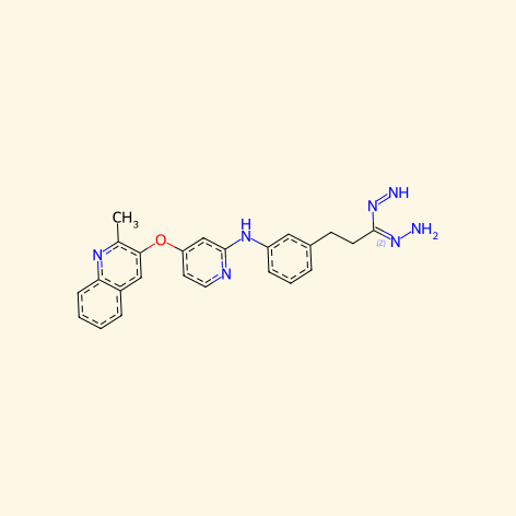 Cc1nc2ccccc2cc1Oc1ccnc(Nc2cccc(CC/C(N=N)=N/N)c2)c1